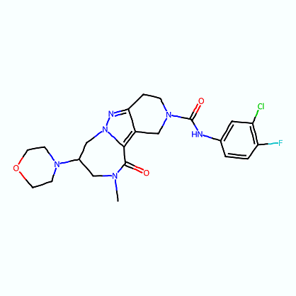 CN1CC(N2CCOCC2)Cn2nc3c(c2C1=O)CN(C(=O)Nc1ccc(F)c(Cl)c1)CC3